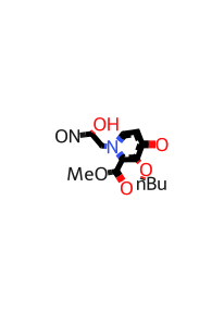 CCCCOc1c(C(=O)OC)n(CC(O)N=O)ccc1=O